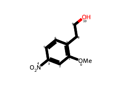 COc1cc([N+](=O)[O-])ccc1CCO